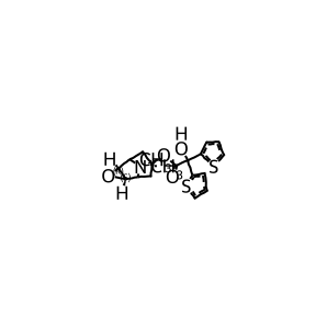 C[N+]1(C)C2CC(OC(=O)C(O)(c3cccs3)c3cccs3)CC1[C@@H]1O[C@H]21